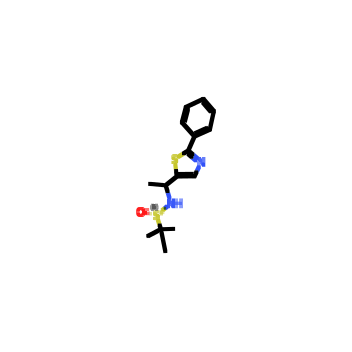 CC(N[S@@+]([O-])C(C)(C)C)c1cnc(-c2ccccc2)s1